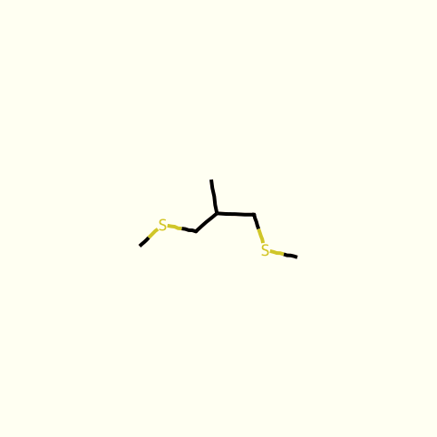 CSCC(C)CSC